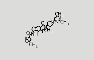 Cc1cc(N2CCC(N(C)C(=O)c3cc4c(cc3F)[C@H](NC(=O)c3cc(C)on3)CC4)CC2)nc(C)n1